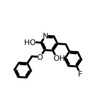 Oc1ncc(Cc2ccc(F)cc2)c(O)c1OCc1ccccc1